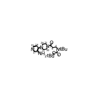 CC(C)(C)OC(=O)N(CCC(=O)N1CCN(c2ccncc2N)CC1)C(C)(C)C